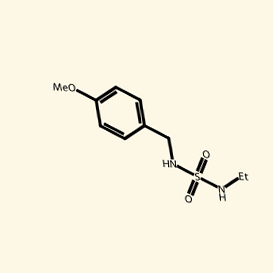 CCNS(=O)(=O)NCc1ccc(OC)cc1